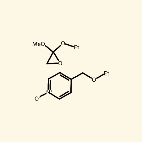 CCOC1(OC)CO1.CCOCc1cc[n+]([O-])cc1